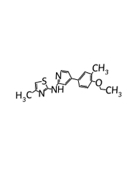 CCOc1ccc(-c2ccnc(Nc3nc(C)cs3)c2)cc1C